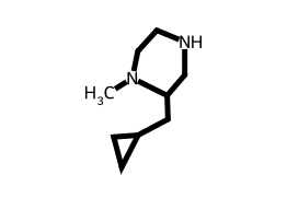 CN1CCNCC1CC1CC1